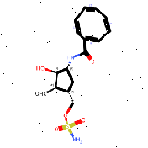 NS(=O)(=O)OC[C@H]1C[C@@H](NC(=O)C2=C/C=C\C=C/C=C\2)[C@H](O)[C@@H]1C=O